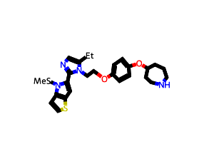 CCc1cnc(-c2cc3sccc3n2SC)n1CCOc1ccc(OC2CCCNCC2)cc1